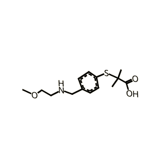 COCCNCc1ccc(SC(C)(C)C(=O)O)cc1